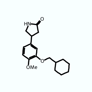 COc1ccc(C2CNC(=O)C2)cc1OCC1CCCCC1